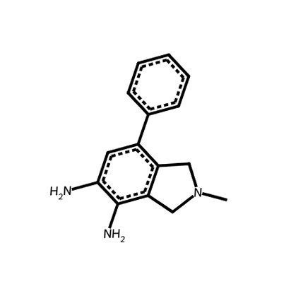 CN1Cc2c(-c3ccccc3)cc(N)c(N)c2C1